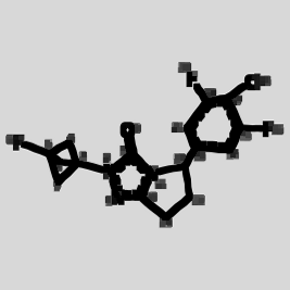 O=c1n(C23CC(F)(C2)C3)nc2n1C(c1cc(F)c(Cl)c(F)c1)CC2